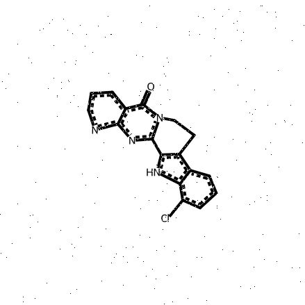 O=c1c2cccnc2nc2n1CCc1c-2[nH]c2c(Cl)cccc12